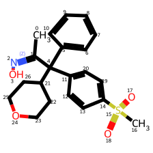 C/C(=N/O)C(c1ccccc1)(c1ccc(S(C)(=O)=O)cc1)C1CCOCC1